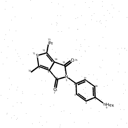 CCCCCCc1ccc(N2C(=O)c3c(C)sc(C(C)C)c3C2=O)cc1